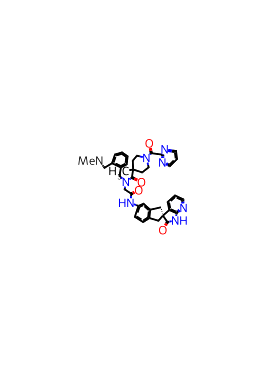 CNCc1ccccc1CN(CC(=O)Nc1ccc2c(c1)C[C@@]1(C2)C(=O)Nc2ncccc21)C(=O)C1(C)CCN(C(=O)c2ncccn2)CC1